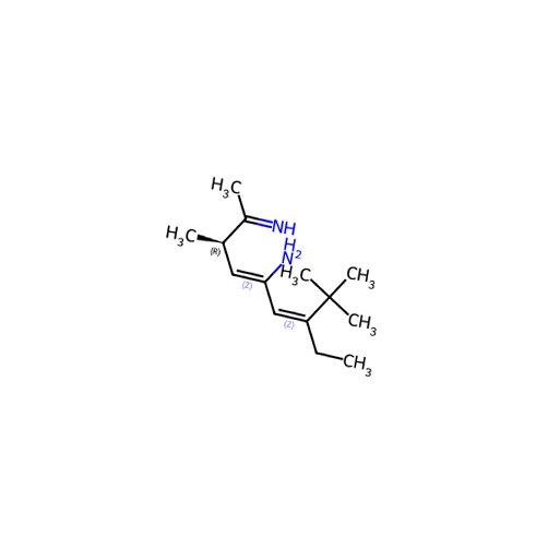 CC/C(=C/C(N)=C/[C@@H](C)C(C)=N)C(C)(C)C